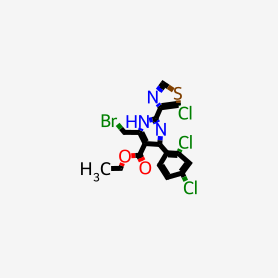 CCOC(=O)C1=C(CBr)NC(c2ncsc2Cl)=NC1c1ccc(Cl)cc1Cl